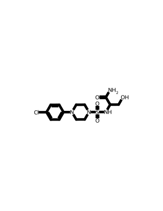 NC(=O)C(CO)NS(=O)(=O)N1CCN(c2ccc(Cl)cc2)CC1